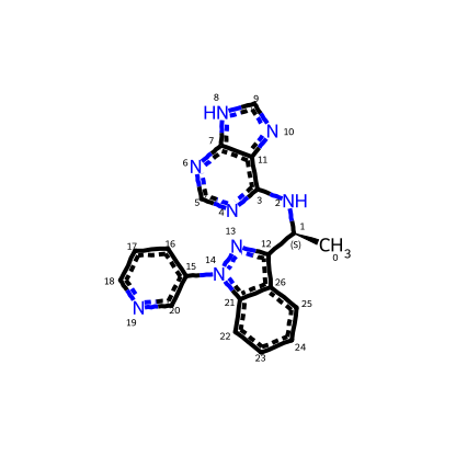 C[C@H](Nc1ncnc2[nH]cnc12)c1nn(-c2cccnc2)c2ccccc12